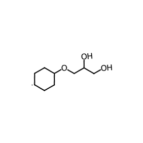 OCC(O)COC1CC[CH]CC1